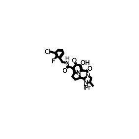 CC(C)N1C(C)CN2C(=O)c3c(O)c(=O)c(C(=O)NCc4cccc(Cl)c4F)c4n3C(CC4)C21